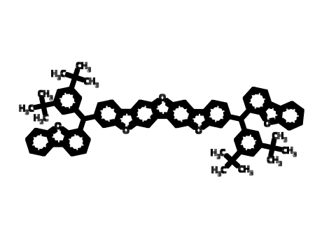 CC(C)(C)c1cc(C(c2ccc3c(c2)oc2cc4c(cc23)oc2cc3c(cc24)oc2cc(C(c4cc(C(C)(C)C)cc(C(C)(C)C)c4)c4cccc5c4oc4ccccc45)ccc23)c2cccc3c2oc2ccccc23)cc(C(C)(C)C)c1